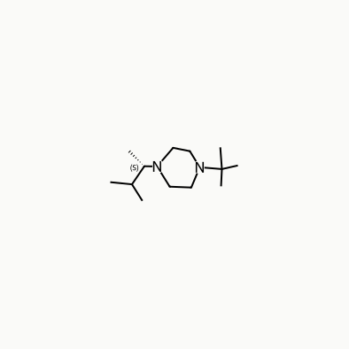 CC(C)[C@H](C)N1CCN(C(C)(C)C)CC1